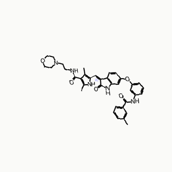 Cc1cccc(C(=O)Nc2cccc(Oc3ccc4c(c3)NC(=O)/C4=C\c3[nH]c(C)c(C(=O)NCCN4CCOCC4)c3C)c2)c1